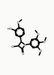 COc1ccc(C2C(Cl)C(=O)N2c2cc(OC)c(OC)c(OC)c2)cc1O